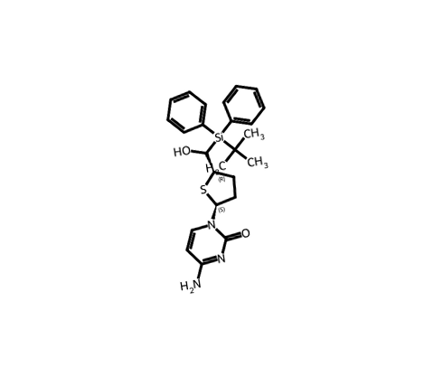 CC(C)(C)[Si](c1ccccc1)(c1ccccc1)C(O)[C@H]1CC[C@@H](n2ccc(N)nc2=O)S1